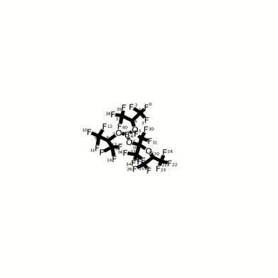 FC(F)(F)C(OB(OC(C(F)(F)F)C(F)(F)F)OC(OC(C(F)(F)F)C(F)(F)F)(C(F)(F)F)C(F)(F)F)C(F)(F)F